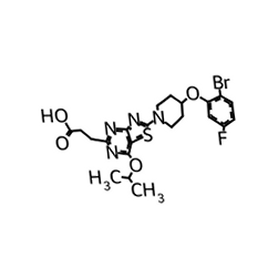 CC(C)Oc1nc(CCC(=O)O)nc2nc(N3CCC(Oc4cc(F)ccc4Br)CC3)sc12